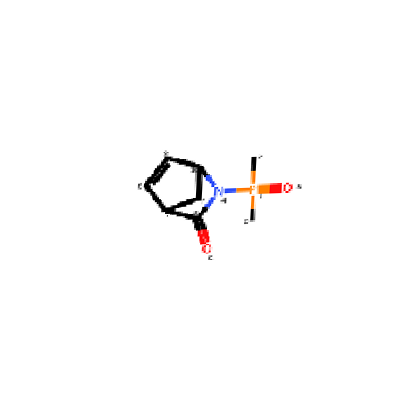 CP(C)(=O)N1C(=O)C2C=CC1C2